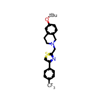 CC(C)(C)Oc1ccc2c(c1)CCN(Cc1nc(-c3ccc(C(F)(F)F)cc3)cs1)C2